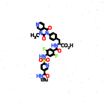 Cn1c(=O)n(-c2ccc(C[C@H](NC(=O)c3cc(F)c(NS(=O)(=O)c4ccc(C(=O)NC(C)(C)C)cn4)cc3F)C(=O)O)cc2)c(=O)c2ccncc21